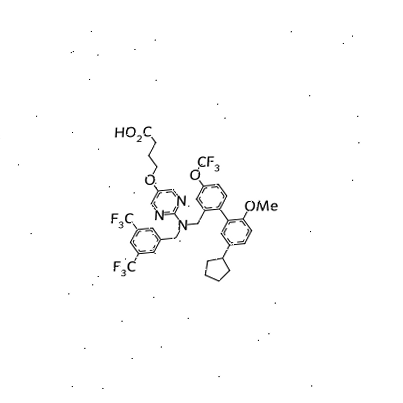 COc1ccc(C2CCCC2)cc1-c1ccc(OC(F)(F)F)cc1CN(Cc1cc(C(F)(F)F)cc(C(F)(F)F)c1)c1ncc(OCCCC(=O)O)cn1